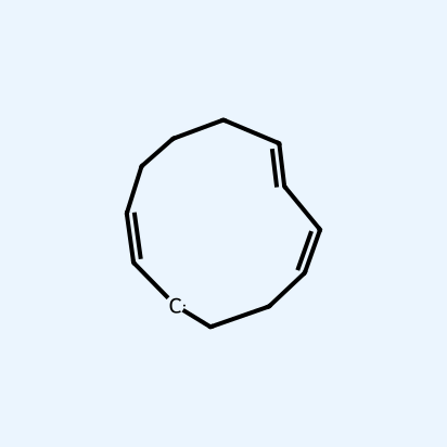 [CH]1/C=C\CCC/C=C/C=C\CC1